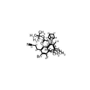 CSc1nc2c(F)c(Br)c(CCC#N)cc2c(N(C(=O)OC(C)(C)C)C2C3CC2N(C(=O)OC(C)(C)C)C3)c1I